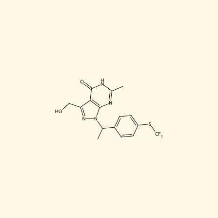 Cc1nc2c(c(CO)nn2C(C)c2ccc(SC(F)(F)F)cc2)c(=O)[nH]1